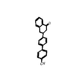 N#Cc1ccc(-c2ccc(C3CC(=O)c4ccccc4C3)cc2)cc1